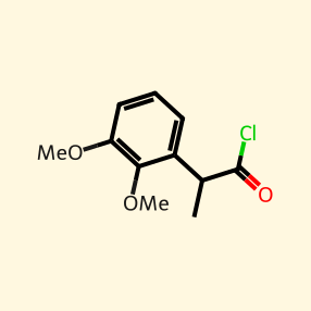 COc1cccc(C(C)C(=O)Cl)c1OC